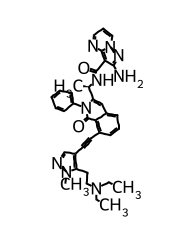 CCN(CC)CCc1c(C#Cc2cccc3cc([C@@H](C)NC(=O)c4c(N)nn5cccnc45)n(-c4ccccc4)c(=O)c23)cnn1C